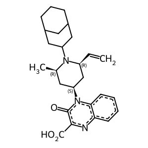 C=C[C@H]1C[C@@H](n2c(=O)c(C(=O)O)nc3ccccc32)C[C@@H](C)N1C1CC2CCCC(C2)C1